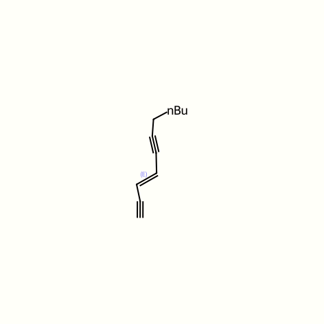 C#C/C=C/C#CCCCCC